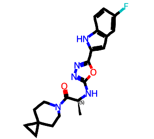 C[C@H](Nc1nnc(-c2cc3cc(F)ccc3[nH]2)o1)C(=O)N1CCC2(CC1)CC2